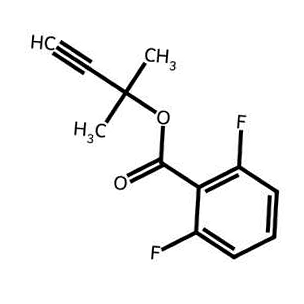 C#CC(C)(C)OC(=O)c1c(F)cccc1F